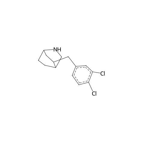 Clc1ccc(CC2CC3CCC2CN3)cc1Cl